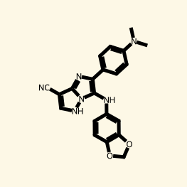 CN(C)c1ccc(-c2nc3c(C#N)c[nH]n3c2Nc2ccc3c(c2)OCO3)cc1